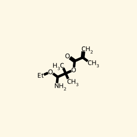 C=C(C)C(=O)OC(C)(C)C(N)OCC